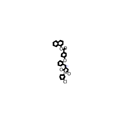 O=C(Oc1cccc2ccccc12)c1ccc(Oc2ccccc2/C=C2/CC(=O)N(c3cccc(Cl)c3)C2=O)cc1